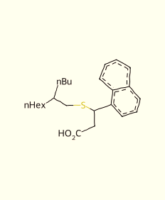 CCCCCCC(CCCC)CSC(CC(=O)O)c1cccc2ccccc12